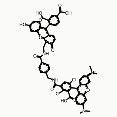 CN(C)c1ccc2c(-c3c(Cl)cc(C(=O)NCc4ccc(C(=O)NCc5c6oc7cc(O)ccc7c(-c7ccc(C(=O)O)cc7C(=O)O)c-6ccc5=O)cc4)c(Cl)c3C(=O)O)c3ccc(=[N+](C)C)cc-3oc2c1